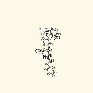 CCOC(=O)C(C)(Cc1ccc(Oc2cc(Cl)nc(NCc3ccccc3)n2)cc1)Oc1ccccc1